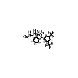 C[C@](NCNC=O)(OCc1cc(C(F)(F)F)cc(C(F)(F)F)c1)c1ccccc1